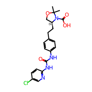 CC1(C)OC[C@H](CCc2ccc(NC(=O)Nc3ccc(Cl)cn3)cc2)N1C(=O)O